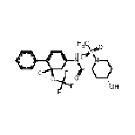 CS(=O)(=O)N1CC[C@H](O)C[C@@H]1C(=O)NC1=CC=C(c2ccccc2)C(Cl)(OC(F)(F)F)C1